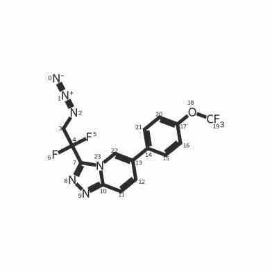 [N-]=[N+]=NCC(F)(F)c1nnc2ccc(-c3ccc(OC(F)(F)F)cc3)cn12